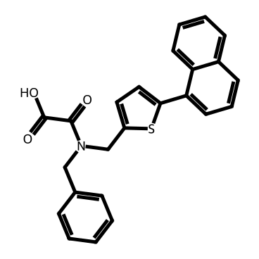 O=C(O)C(=O)N(Cc1ccccc1)Cc1ccc(-c2cccc3ccccc23)s1